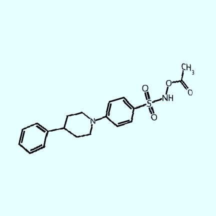 CC(=O)ONS(=O)(=O)c1ccc(N2CCC(c3ccccc3)CC2)cc1